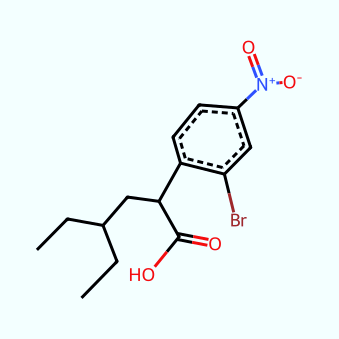 CCC(CC)CC(C(=O)O)c1ccc([N+](=O)[O-])cc1Br